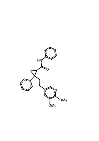 COc1cc(CCC2(c3ccccc3)CC2C(=O)Nc2ccccn2)cnc1OC